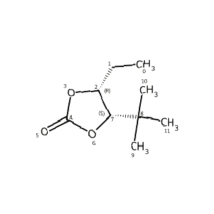 CC[C@H]1OC(=O)O[C@H]1C(C)(C)C